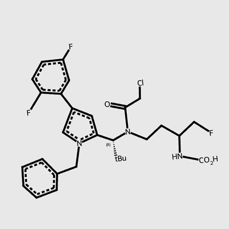 CC(C)(C)[C@H](c1cc(-c2cc(F)ccc2F)cn1Cc1ccccc1)N(CCC(CF)NC(=O)O)C(=O)CCl